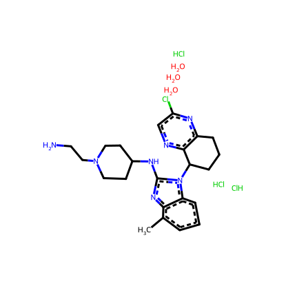 Cc1cccc2c1nc(NC1CCN(CCN)CC1)n2C1CCCc2nc(Cl)cnc21.Cl.Cl.Cl.O.O.O